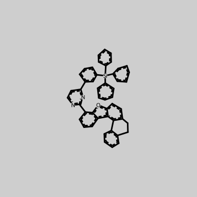 c1ccc([Si](c2ccccc2)(c2ccccc2)c2cccc(-c3ccnc(-c4cccc5c4oc4ccc6c(c45)-c4ccccc4CC6)n3)c2)cc1